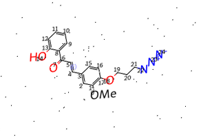 COc1cc(/C=C/C(=O)c2ccccc2O)ccc1OCCCN=[N+]=[N-]